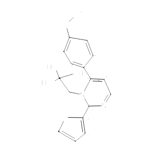 CC(C)(O)CN1C(c2ccc(OC(F)(F)F)cc2)=CC=NC1c1cccs1